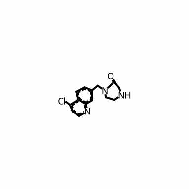 O=C1CNCCN1Cc1ccc2c(Cl)ccnc2c1